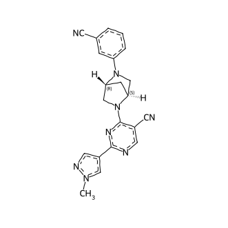 Cn1cc(-c2ncc(C#N)c(N3C[C@H]4C[C@H]3CN4c3cccc(C#N)c3)n2)cn1